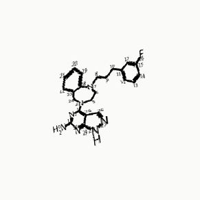 Nc1nc(N2CCN(CCCc3cccc(F)c3)c3ccccc3C2)c2cn[nH]c2n1